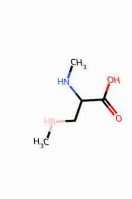 CBCC(NC)C(=O)O